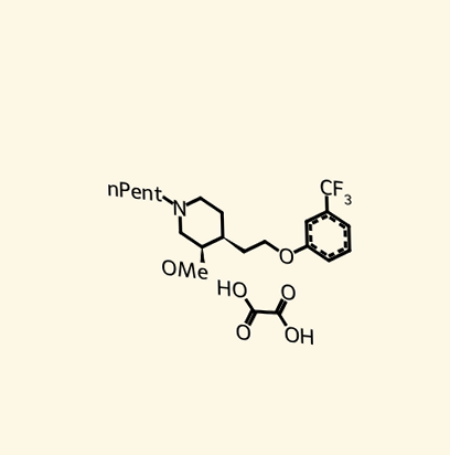 CCCCCN1CC[C@@H](CCOc2cccc(C(F)(F)F)c2)[C@@H](OC)C1.O=C(O)C(=O)O